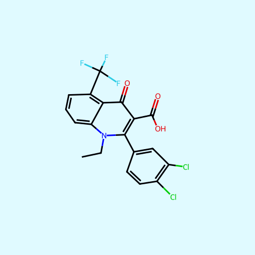 CCn1c(-c2ccc(Cl)c(Cl)c2)c(C(=O)O)c(=O)c2c(C(F)(F)F)cccc21